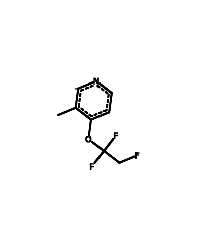 Cc1[c]nccc1OC(F)(F)CF